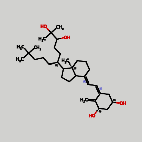 C=C1/C(=C\C=C2/CCC[C@@]3(C)C2CCC3[C@@H](CCCC(C)(C)C)CCC(O)C(C)(C)O)C[C@@H](O)C[C@@H]1O